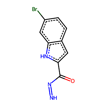 N=NC(=O)c1cc2ccc(Br)cc2[nH]1